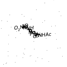 CC(=O)NC[C@H]1CN(c2ccc(-c3ccc(CN[C@H]4COc5nc([N+](=O)[O-])cn5C4)cn3)c(F)c2)C(=O)O1